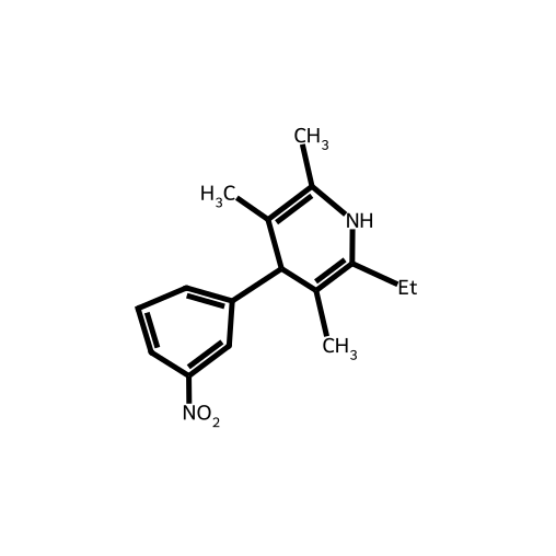 CCC1=C(C)C(c2cccc([N+](=O)[O-])c2)C(C)=C(C)N1